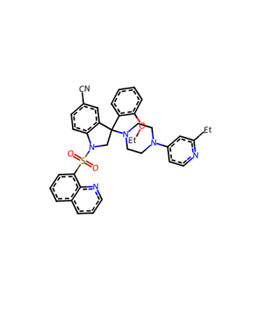 CCOc1ccccc1C1(N2CCN(c3ccnc(CC)c3)CC2)CN(S(=O)(=O)c2cccc3cccnc23)c2ccc(C#N)cc21